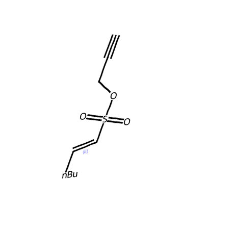 C#CCOS(=O)(=O)/C=C/CCCC